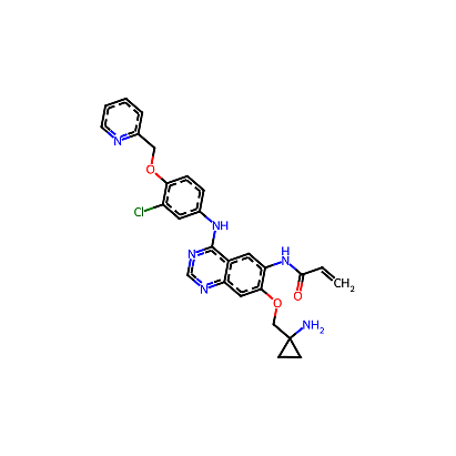 C=CC(=O)Nc1cc2c(Nc3ccc(OCc4ccccn4)c(Cl)c3)ncnc2cc1OCC1(N)CC1